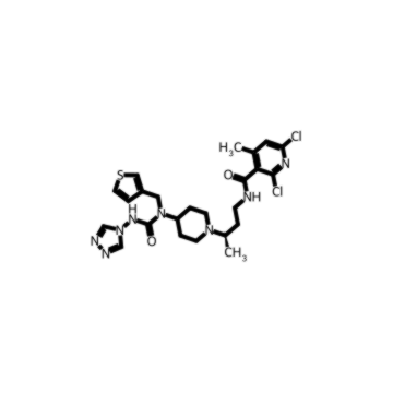 Cc1cc(Cl)nc(Cl)c1C(=O)NCC[C@@H](C)N1CCC(N(Cc2ccsc2)C(=O)Nn2cnnc2)CC1